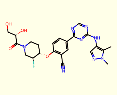 Cc1c(Nc2ncnc(-c3ccc(O[C@H]4CCN(C(=O)[C@@H](O)CO)C[C@@H]4F)c(C#N)c3)n2)cnn1C